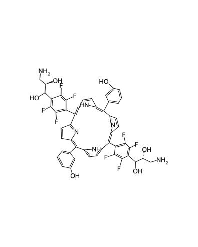 NC[C@@H](O)C(O)c1c(F)c(F)c(-c2c3nc(c(-c4cccc(O)c4)c4ccc([nH]4)c(-c4c(F)c(F)c(C(O)[C@H](O)CN)c(F)c4F)c4nc(c(-c5cccc(O)c5)c5ccc2[nH]5)C=C4)C=C3)c(F)c1F